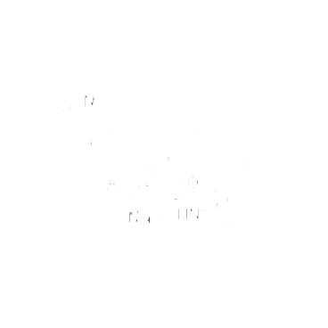 O=C(NC1C2CC3CC(C2)CC1C3)c1onc(OCCc2ccncc2)c1Sc1ccccc1